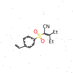 C=Cc1ccc(S(=O)(=O)C(C#N)=C(CC)CC)cc1